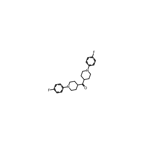 O=C(C1CCN(c2ccc(F)cc2)CC1)C1CCN(c2ccc(F)cc2)CC1